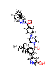 CC(C)(C)c1cc(C(=O)N2CCN(c3ccc(C(=O)NCC45CC6CC(CC(C6)C4)C5)cc3)CC2)cc(-c2cncc(O)c2)c1